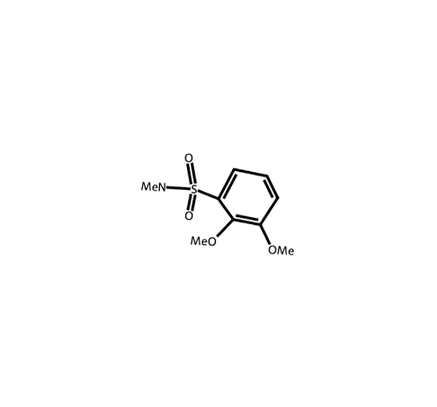 CNS(=O)(=O)c1cccc(OC)c1OC